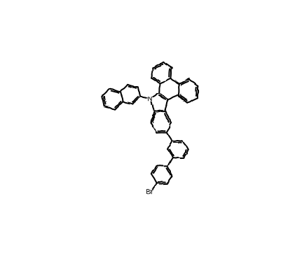 Brc1ccc(-c2cccc(-c3ccc4c(c3)c3c5ccccc5c5ccccc5c3n4-c3ccc4ccccc4c3)c2)cc1